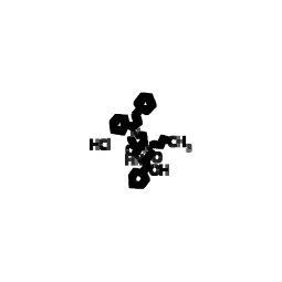 CCCCN1C(=O)[C@@H]([C@H](O)C2CCCCC2)NC(=O)C12CCN(C(/C=C/c1ccccc1)c1ccccc1)CC2.Cl